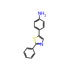 Nc1ccc(-c2cnc(-c3ccccc3)s2)cc1